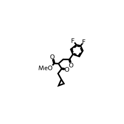 COC(=O)C(CC(=O)c1ccc(F)c(F)c1)C(=O)CC1CC1